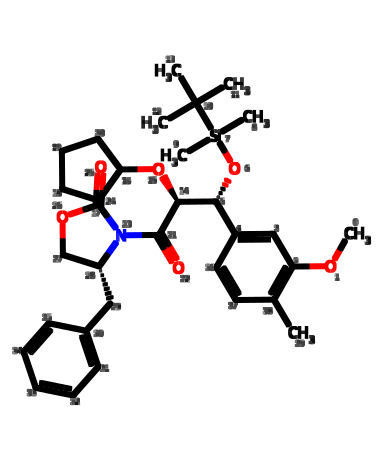 COc1cc([C@@H](O[Si](C)(C)C(C)(C)C)[C@H](OC2CCCC2)C(=O)N2C(=O)OC[C@H]2Cc2ccccc2)ccc1C